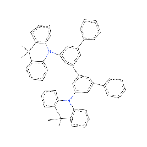 CC1(C)c2ccccc2N(c2cc(-c3ccccc3)cc(-c3cc(-c4ccccc4)cc(N4c5ccccc5C(C)(C)c5ccccc54)c3)c2)c2ccccc21